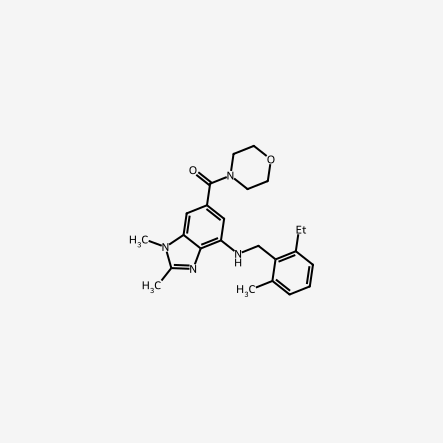 CCc1cccc(C)c1CNc1cc(C(=O)N2CCOCC2)cc2c1nc(C)n2C